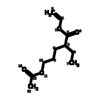 C=COC(=O)C(CC)CCCOC(C)=O